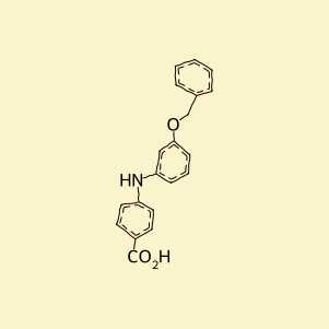 O=C(O)c1ccc(Nc2cccc(OCc3ccccc3)c2)cc1